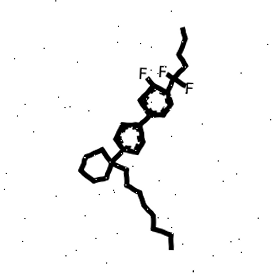 CCCCCCCCC1(c2ccc(-c3ccc(C(F)(F)CCCC)c(F)c3)cc2)CCCCC1